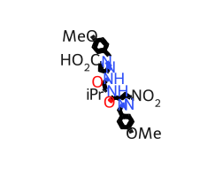 COc1ccc(Cn2nc(NC(=O)C(NC(=O)c3cc([N+](=O)[O-])nn3Cc3ccc(OC)cc3)C(C)C)cc2C(=O)O)cc1